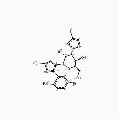 Cc1nc([C@@H]2O[C@H](CO)[C@H](O)[C@H](n3cc(I)cn3)[C@H]2O)n(-c2cc(Br)ccc2C(F)(F)F)n1